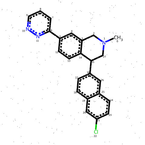 CN1Cc2cc(-c3cccnn3)ccc2C(c2ccc3cc(Cl)ccc3c2)C1